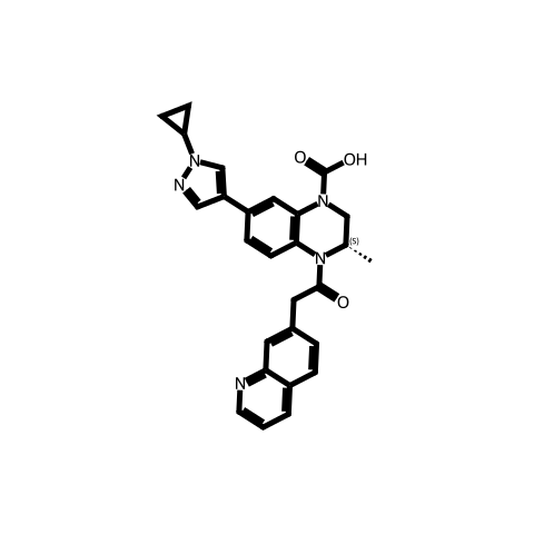 C[C@H]1CN(C(=O)O)c2cc(-c3cnn(C4CC4)c3)ccc2N1C(=O)Cc1ccc2cccnc2c1